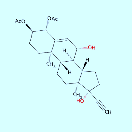 C#C[C@]1(O)CC[C@H]2[C@@H]3[C@@H](O)C=C4[C@@H](OC(C)=O)[C@H](OC(C)=O)CC[C@]4(C)[C@H]3CC[C@@]21C